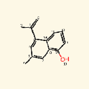 C=C(C)c1cc(C)cc2c(O)cccc12